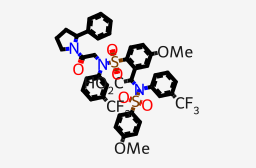 COc1ccc(S(=O)(=O)N(c2cccc(C(F)(F)F)c2)C(C(=O)O)c2cc(OC)ccc2S(=O)(=O)N(CC(=O)N2CCCC2c2ccccc2)c2cccc(C(F)(F)F)c2)cc1